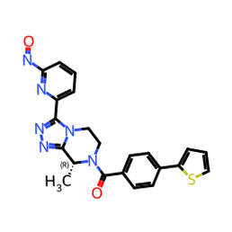 C[C@@H]1c2nnc(-c3cccc(N=O)n3)n2CCN1C(=O)c1ccc(-c2cccs2)cc1